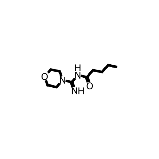 CCCCC(=O)NC(=N)N1CCOCC1